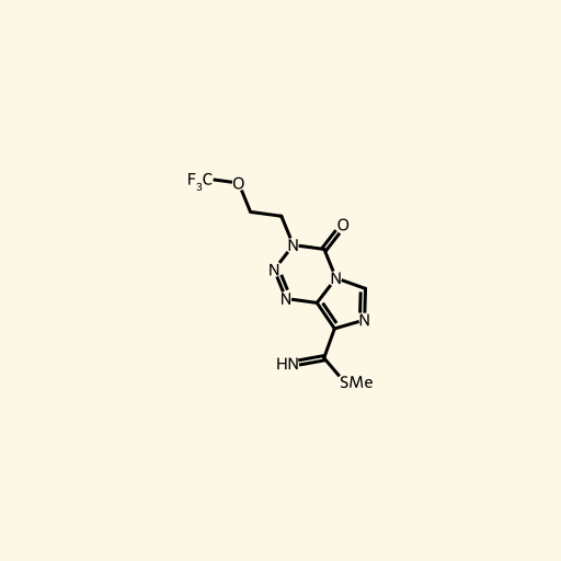 CSC(=N)c1ncn2c(=O)n(CCOC(F)(F)F)nnc12